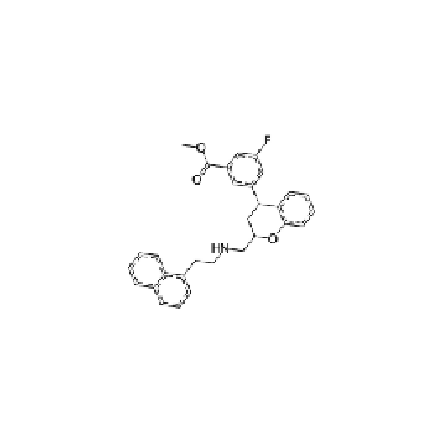 COC(=O)c1cc(F)cc(C2CC(CNCCc3cccc4ccccc34)Oc3ccccc32)c1